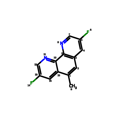 Cc1cc2cc(F)cnc2c2ncc(F)cc12